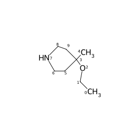 CCOC1(C)CCNCC1